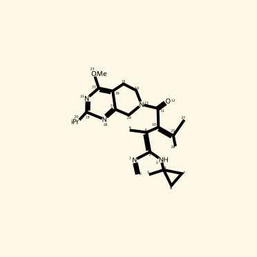 C=N/C(NC1(C)CC1)=C(\C)C(C(=O)N1CCc2c(nc(C(C)C)nc2OC)C1)=C(C)C